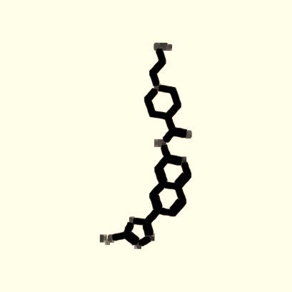 COCCN1CCC(C(=O)Nc2cc3cc(-c4nnc(C)s4)ccc3cn2)CC1